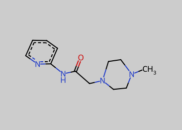 CN1CCN(CC(=O)Nc2ccccn2)CC1